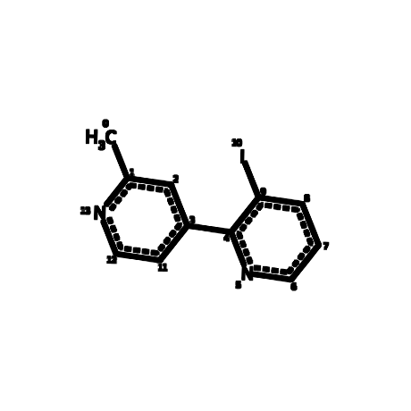 Cc1cc(-c2ncccc2I)ccn1